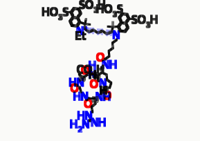 CC[N+]1=C(/C=C/C=C/C=C2/N(CCCCCC(=O)NCC3CC4CC[C@H]5C(=O)N[C@@H](CCCNC(=N)N)C(=O)NCC(=O)N[C@@H](CC(=O)O)C(=O)N[C@H]3C(=O)N45)c3ccc4c(S(=O)(=O)O)cc(S(=O)(=O)O)cc4c3C2(C)C)C(C)(C)c2c1ccc1c(S(=O)(=O)O)cc(S(=O)(=O)O)cc21